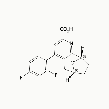 O=C(O)c1cc(-c2ccc(F)cc2F)c2c(n1)[C@@H]1CC[C@H](C2)O1